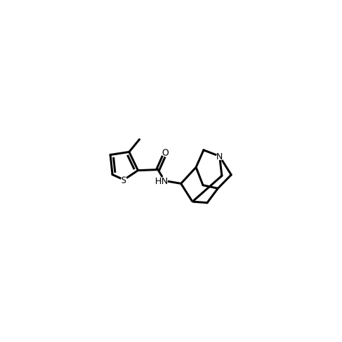 Cc1ccsc1C(=O)NC1C2CC3CC1CN(C3)C2